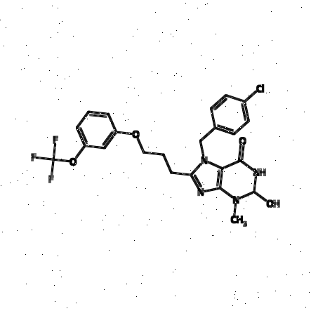 CN1c2nc(CCCOc3cccc(OC(F)(F)F)c3)n(Cc3ccc(Cl)cc3)c2C(=O)NC1O